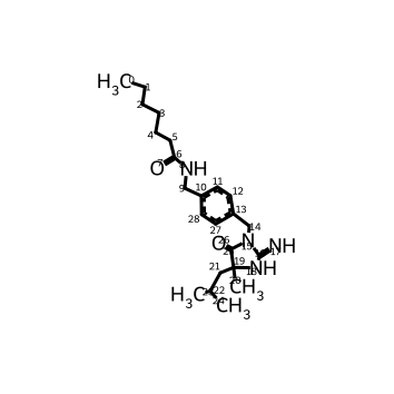 CCCCCCC(=O)NCc1ccc(CN2C(=N)NC(C)(CC(C)C)C2=O)cc1